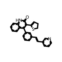 O=c1[nH]c2ccccc2c(-c2cccc(/C=C/c3cccnc3)c2)c1C1=CCCS1